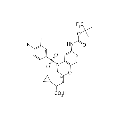 Cc1cc(S(=O)(=O)N2C[C@H](CC(C(=O)O)C3CC3)Oc3ccc(NC(=O)OC(C)(C)C(F)(F)F)cc32)ccc1F